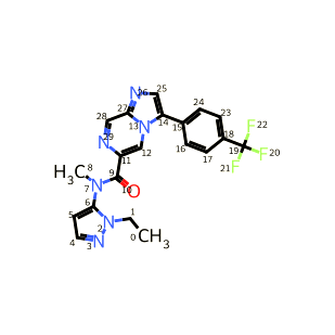 CCn1nccc1N(C)C(=O)c1cn2c(-c3ccc(C(F)(F)F)cc3)cnc2cn1